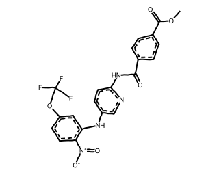 COC(=O)c1ccc(C(=O)Nc2ccc(Nc3cc(OC(F)(F)F)ccc3[N+](=O)[O-])cn2)cc1